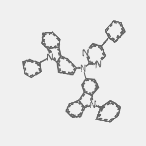 c1ccc(-c2cnc(N(c3ccc4c(c3)c3ccccc3n4-c3ccccc3)c3ccc4c(c3)c3ccccc3n4-c3ccccc3)nc2)cc1